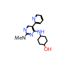 CNc1ncc(-c2ccccn2)c(NC2CCC(O)CC2)n1